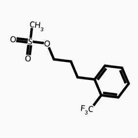 CS(=O)(=O)OCCCc1ccccc1C(F)(F)F